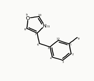 Cc1cccc(Cc2cocn2)c1